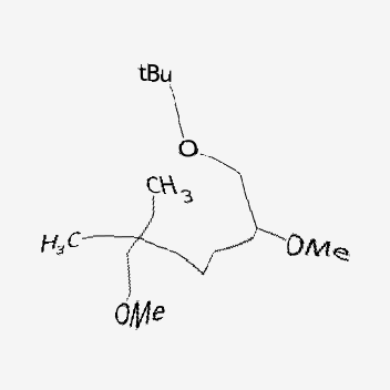 COC(COC(C)(C)C)CC(C)(C)OC